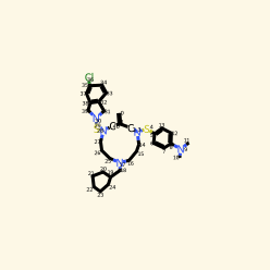 C=C1CN(Sc2ccc(N(C)C)cc2)CCCN(CC2CCCCC2)CCCN(SN2Cc3ccc(Cl)cc3C2)C1